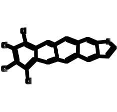 Clc1c(Cl)c(Cl)c2cc3cc4cc5sccc5cc4cc3cc2c1Cl